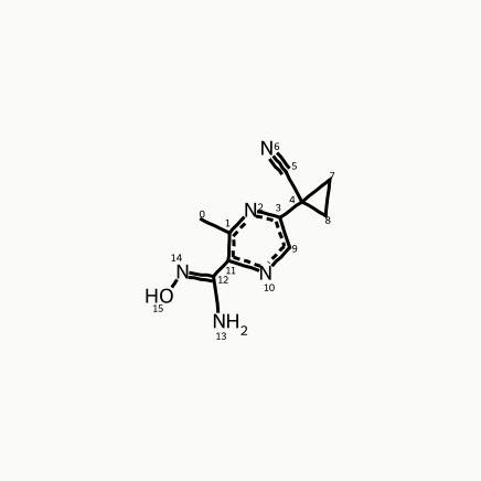 Cc1nc(C2(C#N)CC2)cnc1C(N)=NO